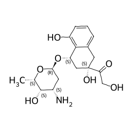 C[C@@H]1O[C@@H](O[C@H]2C[C@](O)(C(=O)CO)Cc3cccc(O)c32)C[C@H](N)[C@@H]1O